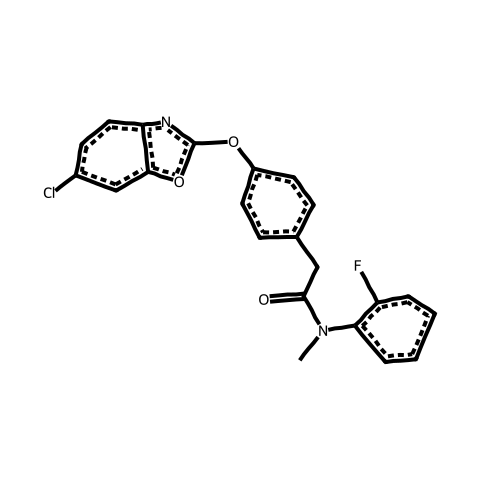 CN(C(=O)Cc1ccc(Oc2nc3ccc(Cl)cc3o2)cc1)c1ccccc1F